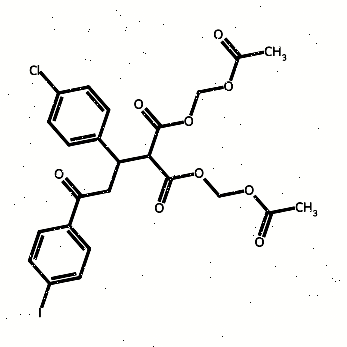 CC(=O)OCOC(=O)C(C(=O)OCOC(C)=O)C(CC(=O)c1ccc(I)cc1)c1ccc(Cl)cc1